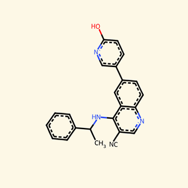 CC(Nc1c(C#N)cnc2ccc(-c3ccc(O)nc3)cc12)c1ccccc1